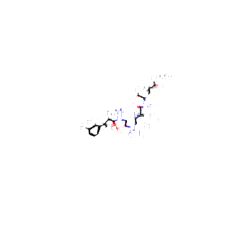 CN[C@H](C(=O)N[C@H](C(=O)N(C)[C@H](/C=C(\C)C(=O)N[C@H](CCC(=O)OC)C(=O)OC)C(C)C)C(C)(C)C)C(C)(C)c1cccc(F)c1